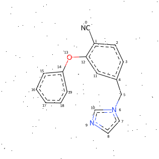 N#Cc1ccc(Cn2ccnc2)cc1Oc1ccccc1